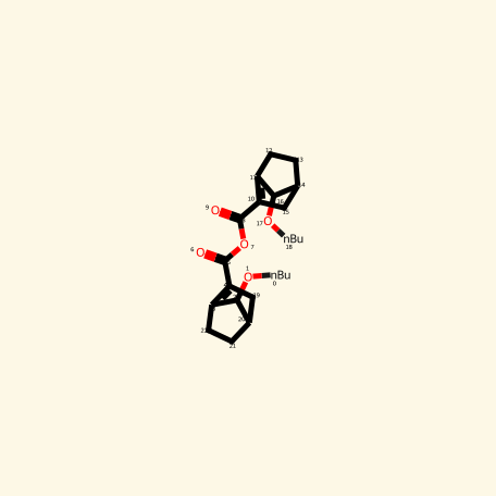 CCCCOC1C2=C(C(=O)OC(=O)C3=C4CCC(C3)C4OCCCC)CC1CC2